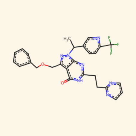 CC(c1ccc(C(F)(F)F)nc1)n1nc(COCc2ccccc2)c2c(=O)[nH]c(CCc3ncccn3)nc21